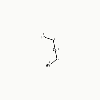 CC(C)[CH2][Cu][CH2]C(C)C